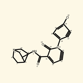 O=C(NC1CN2CCC1CC2)c1cc#cn(-c2c#cc(Cl)cc2)c1=O